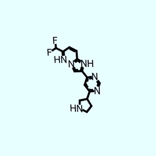 N=C(/C=C\c1ncc(-c2cc(C3CCNC3)ncn2)[nH]1)C(F)F